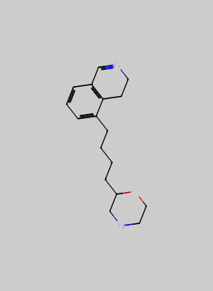 C1=NCCc2c1cccc2CCCCC1CNCCO1